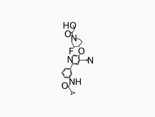 N#Cc1cc(-c2cccc(NC(=O)C3CC3)c2)ncc1O[C@H]1CCN(C(=O)CO)C[C@H]1F